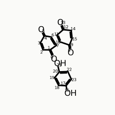 O=C1C=CC(=O)C=C1.O=C1C=CC(=O)C=C1.Oc1ccc(O)cc1